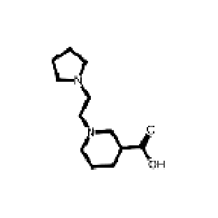 O=C(O)C1CCCN(CCN2CCCC2)C1